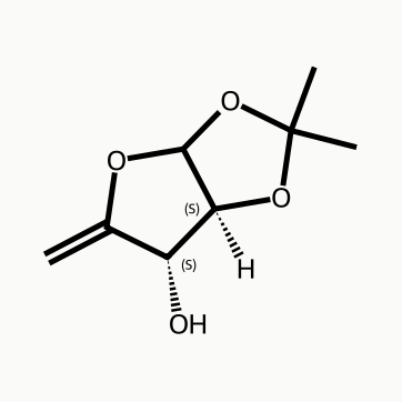 C=C1OC2OC(C)(C)O[C@H]2[C@@H]1O